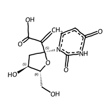 C=C(C(=O)O)[C@]1(n2ccc(=O)[nH]c2=O)C[C@H](O)[C@@H](CO)O1